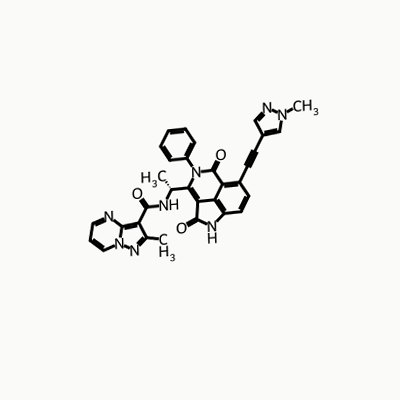 Cc1nn2cccnc2c1C(=O)N[C@H](C)c1c2c3c(ccc(C#Cc4cnn(C)c4)c3c(=O)n1-c1ccccc1)NC2=O